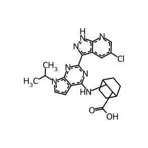 CC(C)n1ccc2c(NC3C4CCC(CC4)C3C(=O)O)nc(-c3n[nH]c4ncc(Cl)cc34)nc21